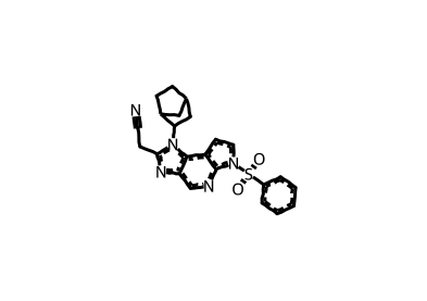 N#CCc1nc2cnc3c(ccn3S(=O)(=O)c3ccccc3)c2n1C1CC2CCC1C2